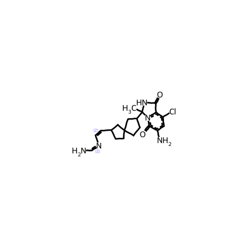 CC1(C2CCC3(CCC(/C=C\N=C/N)C3)C2)NC(=O)c2c(Cl)cc(N)c(=O)n21